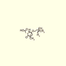 COC(=O)[C@H](CC(=O)O)NC(=O)OCC[Si](C)(C)C